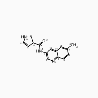 Cc1ccc2ncc(NC(=O)C3C=CNC3)cc2c1